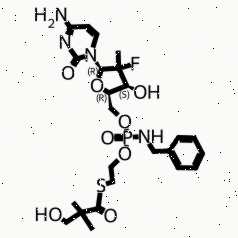 CC(C)(CO)C(=O)SCCOP(=O)(NCc1ccccc1)OC[C@H]1O[C@@H](n2ccc(N)nc2=O)C(C)(F)[C@H]1O